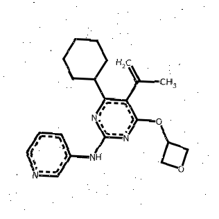 C=C(C)c1c(OC2COC2)nc(Nc2cccnc2)nc1C1CCCCC1